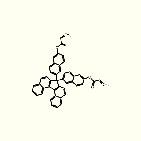 C=CC(=O)Oc1ccc2cc(C3(c4ccc5cc(OC(=O)C=C)ccc5c4)c4ccc5ccccc5c4-c4c3ccc3ccccc43)ccc2c1